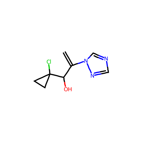 C=C(C(O)C1(Cl)CC1)n1cncn1